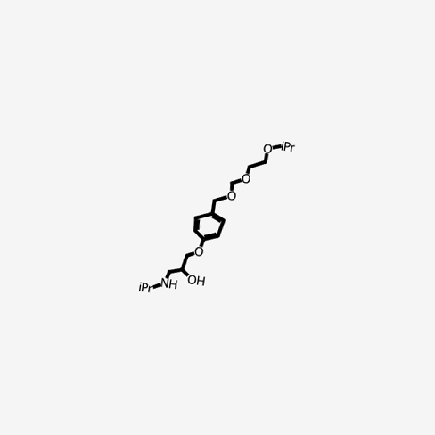 CC(C)NCC(O)COc1ccc(COCOCCOC(C)C)cc1